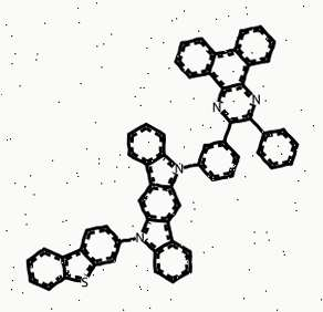 c1ccc(-c2nc3c4ccccc4c4ccccc4c3nc2-c2cccc(-n3c4ccccc4c4cc5c(cc43)c3ccccc3n5-c3ccc4c(c3)sc3ccccc34)c2)cc1